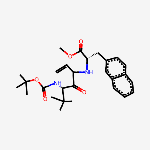 C=CC(N[C@@H](Cc1ccc2ccccc2c1)C(=O)OC)C(=O)[C@@H](NC(=O)OC(C)(C)C)C(C)(C)C